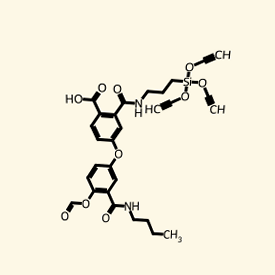 C#CO[Si](CCCNC(=O)c1cc(Oc2ccc(OC=O)c(C(=O)NCCCC)c2)ccc1C(=O)O)(OC#C)OC#C